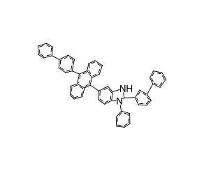 c1ccc(-c2ccc(-c3c4ccccc4c(-c4ccc5c(c4)NC(c4cccc(-c6ccccc6)c4)N5c4ccccc4)c4ccccc34)cc2)cc1